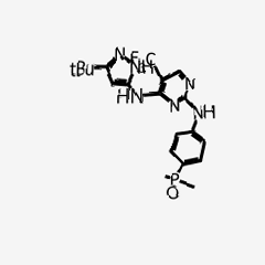 CC(C)(C)c1cc(Nc2nc(Nc3ccc(P(C)(C)=O)cc3)ncc2C(F)(F)F)[nH]n1